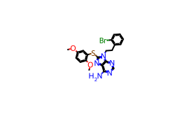 COc1ccc(OC)c(Sc2nc3c(N)ncnc3n2CCc2ccccc2Br)c1